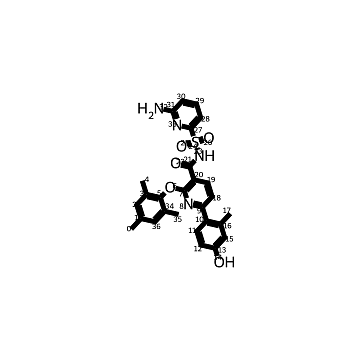 Cc1cc(C)c(Oc2nc(-c3ccc(O)cc3C)ccc2C(=O)NS(=O)(=O)c2cccc(N)n2)c(C)c1